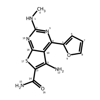 CNc1nc(-c2ccco2)c2c(N)c(C(N)=O)sc2n1